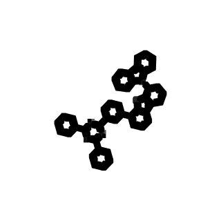 c1ccc(-c2nc(-c3ccccc3)nc(-c3cccc(-c4cccc5c4oc4c(-n6c7ccccc7c7ccccc76)cccc45)c3)n2)cc1